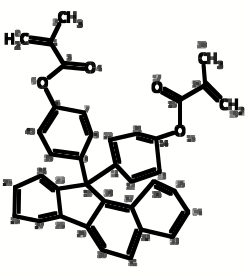 C=C(C)C(=O)Oc1ccc(C2(c3ccc(OC(=O)C(=C)C)cc3)c3ccccc3-c3ccc4ccccc4c32)cc1